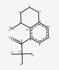 [2H]C1CCCc2cccc(C(=O)C(C)(C)C)c21